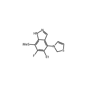 CCc1c(F)c(SC)c2[nH]ncc2c1N1C=CSC1